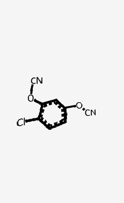 N#COc1ccc(Cl)c(OC#N)c1